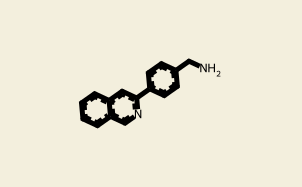 NCc1ccc(-c2cc3ccccc3cn2)cc1